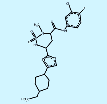 CN1C(C(=O)Nc2ccc(F)c(Cl)c2)CC(c2ncc(C3CCC(CC(=O)O)CC3)s2)NS1(=O)=O